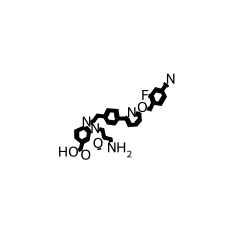 COC(CN)Cn1c(Cc2ccc(-c3cccc(OCc4ccc(C#N)cc4F)n3)cc2)nc2ccc(C(=O)O)cc21